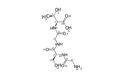 C[C@@H](O)[C@H](NC(=O)CNC(=O)[C@H](CO)NC(=O)CN)C(=O)O